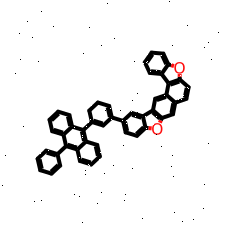 C1=C(c2ccc3oc4cc5ccc6oc7ccccc7c6c5cc4c3c2)C=C(c2c3ccccc3c(-c3ccccc3)c3ccccc23)CC1